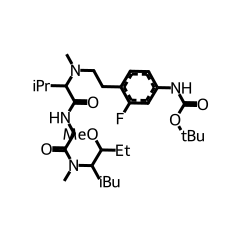 CCC(C)C(C(CC)OC)N(C)C(=O)CNC(=O)C(C(C)C)N(C)CCc1ccc(NC(=O)OC(C)(C)C)cc1F